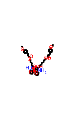 CCOc1ccc(C=CC(=O)OCCCCCCCCc2ccccc2C(N)(CCCCCCCCOC(=O)C=Cc2ccc(OCC)cc2)C(C(=O)O)(C(=O)O)C(N)c2ccccc2)cc1